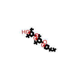 CC(C)(C)CC(C)(C)c1ccc(OC(=O)c2cc(C(C)(C)C)c(OC(=O)c3cc(C(C)(C)C)c(O)c(C(C)(C)C)c3)c(C(C)(C)C)c2)cc1